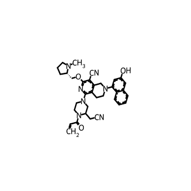 C=CC(=O)N1CCN(c2nc(OC[C@@H]3CCCN3C)c(C#N)c3c2CCN(c2cc(O)cc4ccccc24)C3)CC1CC#N